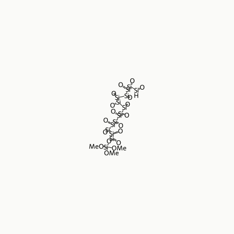 CO[Si](OC)(OC)O[Si](=O)[Si](=O)[Si](=O)[Si](=O)[Si](=O)[Si](=O)[Si](=O)[Si](=O)[Si](=O)[Si](=O)[Si](=O)[Si](=O)[Si](=O)[SiH]=O